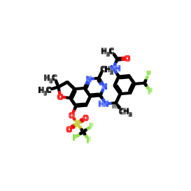 CC(=O)Nc1cc(C(F)F)cc([C@@H](C)Nc2nc(C)nc3c4c(c(OS(=O)(=O)C(F)(F)F)cc23)OC(C)(C)C4)c1